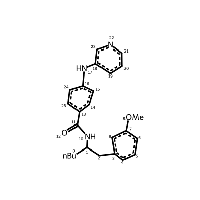 CCCCC(Cc1cccc(OC)c1)NC(=O)c1ccc(Nc2cccnc2)cc1